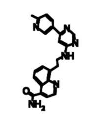 Cc1ccc(-c2cc(NCCc3cccc4c(C(N)=O)ccnc34)ncn2)cn1